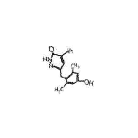 Cc1cc(O)cc(C)c1Cc1cc(C(C)C)c(=O)[nH]n1